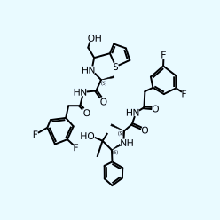 C[C@H](NC(CO)c1cccs1)C(=O)NC(=O)Cc1cc(F)cc(F)c1.C[C@H](N[C@@H](c1ccccc1)C(C)(C)O)C(=O)NC(=O)Cc1cc(F)cc(F)c1